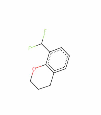 FC(F)c1cccc2c1OCCC2